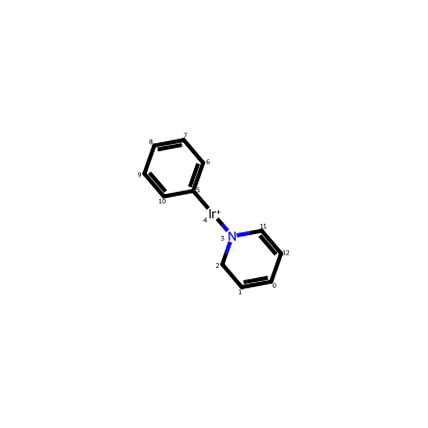 C1=CC[N]([Ir+][c]2ccccc2)C=C1